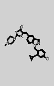 CN1CCN(C2=NC(=O)/C(=C/c3ccc4c(cnn4Cc4ccc(Cl)cc4C4CC4)c3)S2)CC1